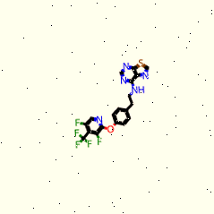 Fc1cnc(Oc2ccc(CCNc3ncnc4scnc34)cc2)c(F)c1C(F)(F)F